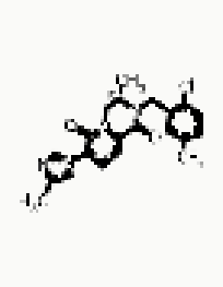 Cc1cn(-c2ccc3n(c2=O)C[C@@H](C)N(Cc2cc(C(F)(F)F)ccc2Cl)C3=O)cn1